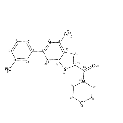 N#Cc1cccc(-c2nc(N)c3cc(C(=O)N4CCOCC4)sc3n2)c1